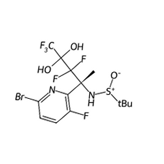 CC(C)(C)[S+]([O-])N[C@](C)(c1nc(Br)ccc1F)C(F)(F)C(O)(O)C(F)(F)F